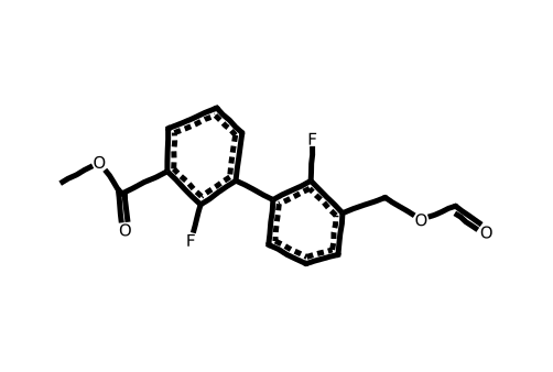 COC(=O)c1cccc(-c2cccc(COC=O)c2F)c1F